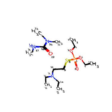 CCOP(=O)(OCC)SCCN(CC)CC.CNC(=O)N(C)C